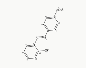 CCCCCCCCc1ccc(/N=C/c2ccccc2O)cc1